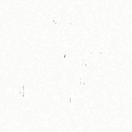 CNC(=O)c1cc(F)c(-c2nc3cc(C)ccn3c2C[C@@H]2CCC[C@H](N)C2)c(F)c1